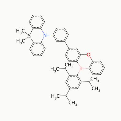 CC(C)c1cc(C(C)C)c(B2c3ccccc3Oc3cc(-c4cccc(N5c6ccccc6[Si](C)(C)c6ccccc65)c4)ccc32)c(C(C)C)c1